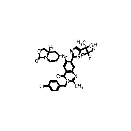 Cc1nc2cc(-c3ncc([C@@](C)(O)C(F)(F)F)s3)c(N[C@H]3CCN4C(=O)OC[C@@H]4C3)cc2c(=O)n1Cc1ccc(Cl)cc1